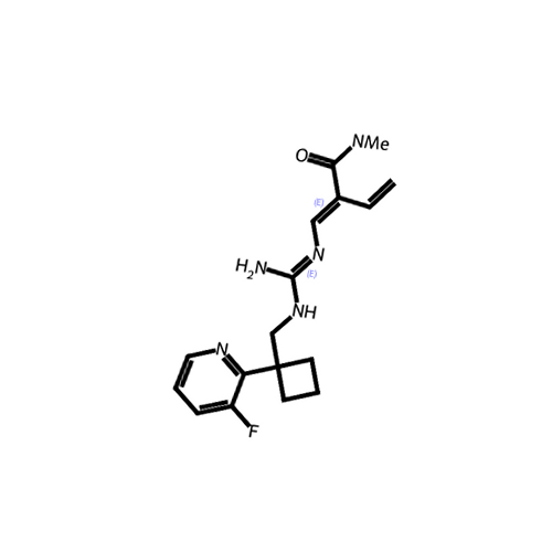 C=C/C(=C\N=C(/N)NCC1(c2ncccc2F)CCC1)C(=O)NC